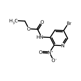 CCOC(=O)Nc1cc(Br)cnc1[N+](=O)[O-]